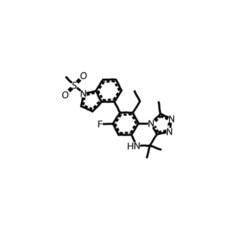 CCc1c(-c2cccc3c2ccn3S(C)(=O)=O)c(F)cc2c1-n1c(C)nnc1C(C)(C)N2